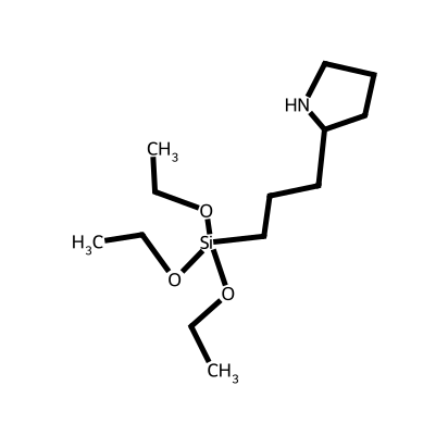 CCO[Si](CCCC1CCCN1)(OCC)OCC